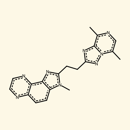 Cc1ncc(C)n2nc(CCc3nc4c5nccnc5ccc4n3C)nc12